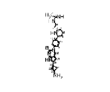 CC(=N)NCC[C@@H]1CCCC(c2ccc(-n3cc4cc(C56CC(N)(C5)C6)[nH]c4nc3=O)cc2)N1